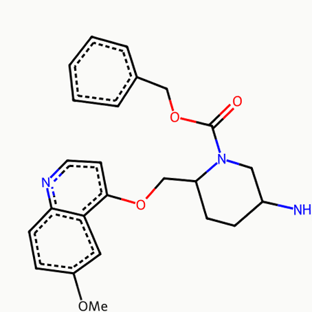 COc1ccc2nccc(OCC3CCC(N)CN3C(=O)OCc3ccccc3)c2c1